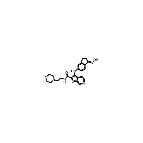 O=C(NCCN1CCOCC1)c1oc2cnccc2c1Nc1ccc2c(c1)CC/C2=N\O